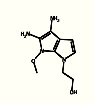 COn1c(N)c(N)c2ccn(CCO)c21